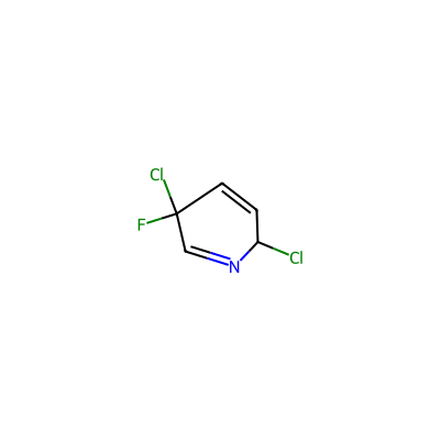 FC1(Cl)C=CC(Cl)N=C1